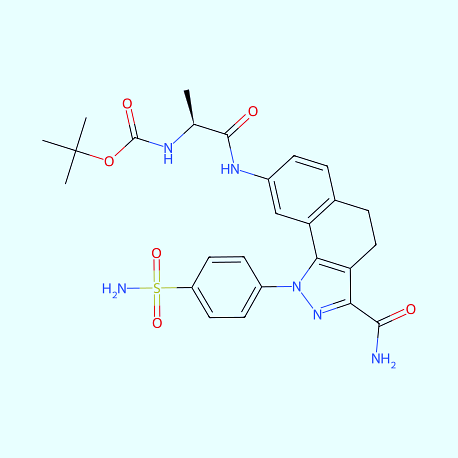 C[C@H](NC(=O)OC(C)(C)C)C(=O)Nc1ccc2c(c1)-c1c(c(C(N)=O)nn1-c1ccc(S(N)(=O)=O)cc1)CC2